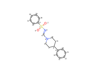 O=S(=O)(N=CN1CCC(c2ccccc2)CC1)c1ccccc1